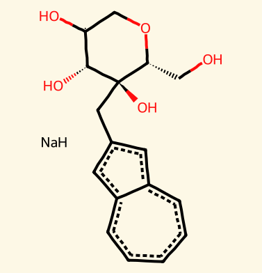 OC[C@H]1OC[C](O)[C@@H](O)[C@@]1(O)Cc1cc2cccccc-2c1.[NaH]